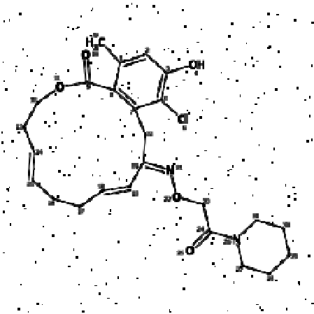 Cc1cc(O)c(Cl)c2c1C(=O)OCC/C=C/CC/C=C/C(=NOCC(=O)N1CCCCC1)C2